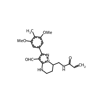 C=CC(=O)NCC1CCNc2c(C=O)c(-c3cc(OC)c(C)c(OC)c3)nn21